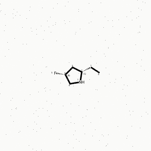 CC[C@H]1C[C@@H](F)CN1